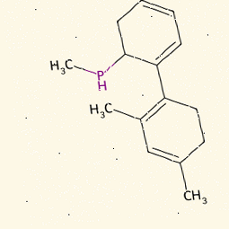 CPC1CC=CC=C1C1=C(C)C=C(C)CC1